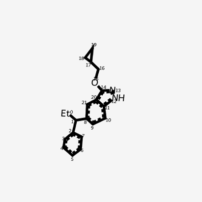 [CH2]CC(c1ccccc1)c1ccc2[nH]nc(OCC3CC3)c2c1